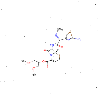 CON=C(C(=O)NC1C(=O)N2C(C(=O)OC(COC(C)(C)C)COC(C)(C)C)=CCS[C@@H]12)c1csc(N)n1